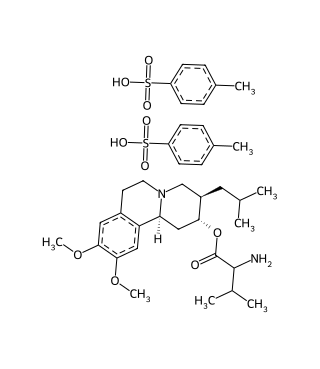 COc1cc2c(cc1OC)[C@@H]1C[C@@H](OC(=O)C(N)C(C)C)[C@H](CC(C)C)CN1CC2.Cc1ccc(S(=O)(=O)O)cc1.Cc1ccc(S(=O)(=O)O)cc1